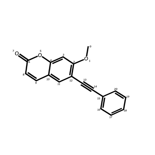 COc1cc2oc(=O)ccc2cc1C#Cc1ccccc1